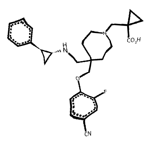 N#Cc1ccc(OCC2(CN[C@@H]3C[C@H]3c3ccccc3)CCN(CC3(C(=O)O)CC3)CC2)c(F)c1